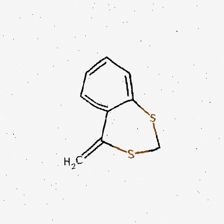 C=C1SCSc2ccccc21